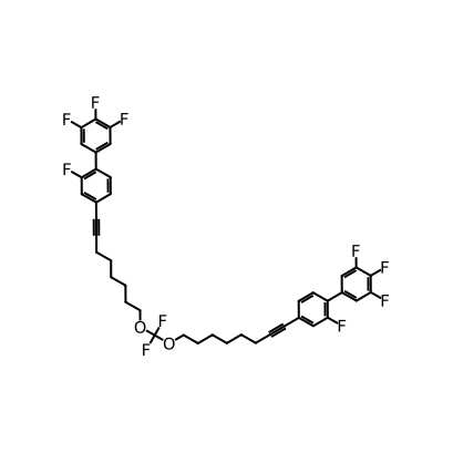 Fc1cc(C#CCCCCCCOC(F)(F)OCCCCCCC#Cc2ccc(-c3cc(F)c(F)c(F)c3)c(F)c2)ccc1-c1cc(F)c(F)c(F)c1